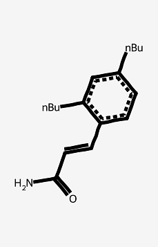 CCCCc1ccc(C=CC(N)=O)c(CCCC)c1